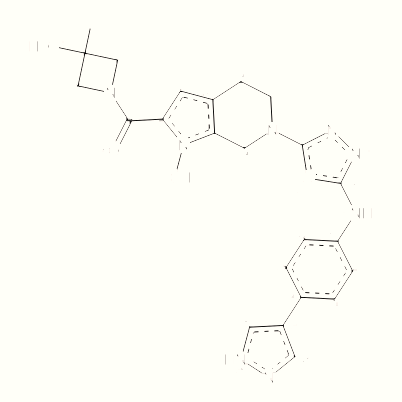 Cn1c(C(=O)N2CC(C)(F)C2)cc2c1CN(c1nnc(Nc3ccc(-c4cn[nH]c4)cc3)o1)CC2